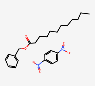 CCCCCCCCCCCC(=O)OCc1ccccc1.O=[N+]([O-])c1ccc([N+](=O)[O-])cc1